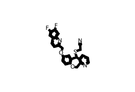 N#CCSC1c2cc(OCc3ccc4cc(F)c(F)cc4n3)ccc2OCc2ncccc21